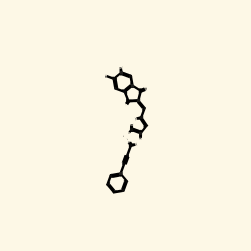 O=C1C(=Cc2cc3oc(C#Cc4ccccc4)nc3o2)C(=O)c2cc(Cl)c(Cl)cc21